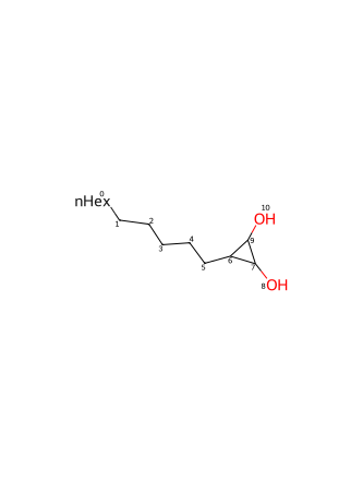 CCCCCCCCCCCC1C(O)C1O